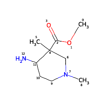 COC(=O)C1(C)CN(C)CCC1N